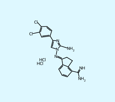 Cl.Cl.N=C(N)c1cccc2c1CCC2=Nn1cc(-c2ccc(Cl)c(Cl)c2)nc1N